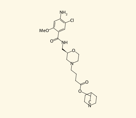 COc1cc(N)c(Cl)cc1C(=O)NC[C@@H]1CN(CCCC(=O)OC2CN3CCC2CC3)CCO1